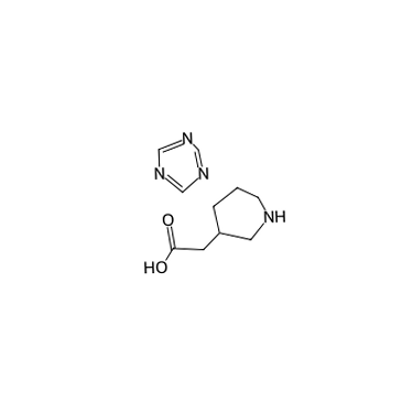 O=C(O)CC1CCCNC1.c1ncncn1